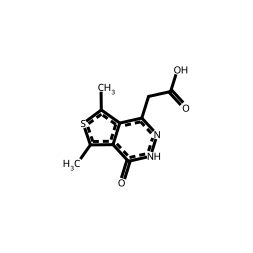 Cc1sc(C)c2c(=O)[nH]nc(CC(=O)O)c12